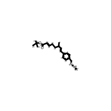 CC(C=Cc1ccc(CN=[N+]=[N-])cc1)CCC=CC(=O)OC(C)(C)C